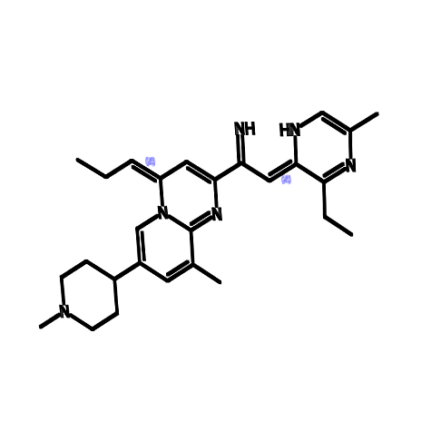 CC/C=C1/C=C(C(=N)/C=C2\NC=C(C)N=C2CC)N=C2C(C)=CC(C3CCN(C)CC3)=CN21